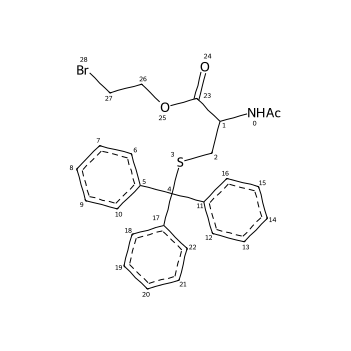 CC(=O)NC(CSC(c1ccccc1)(c1ccccc1)c1ccccc1)C(=O)OCCBr